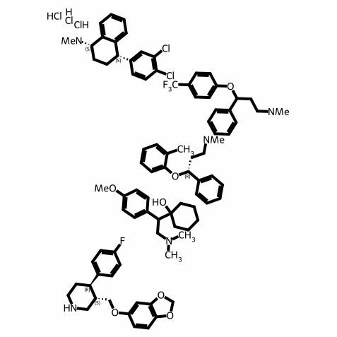 CNCCC(Oc1ccc(C(F)(F)F)cc1)c1ccccc1.CNCC[C@@H](Oc1ccccc1C)c1ccccc1.CN[C@H]1CC[C@@H](c2ccc(Cl)c(Cl)c2)c2ccccc21.COc1ccc(C(CN(C)C)C2(O)CCCCC2)cc1.Cl.Cl.Cl.Fc1ccc([C@@H]2CCNC[C@H]2COc2ccc3c(c2)OCO3)cc1